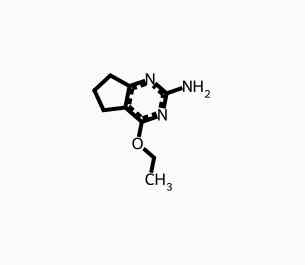 CCOc1nc(N)nc2c1CCC2